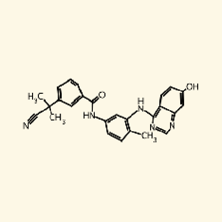 Cc1ccc(NC(=O)c2cccc(C(C)(C)C#N)c2)cc1Nc1ncnc2cc(O)ccc12